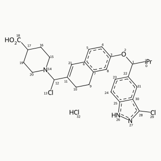 CC(C)C(Oc1ccc2c(c1)CCC(C(Cl)N1CCC(C(=O)O)CC1)=C2)c1ccc2[nH]nc(Cl)c2c1.Cl